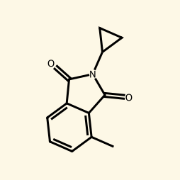 Cc1cccc2c1C(=O)N(C1CC1)C2=O